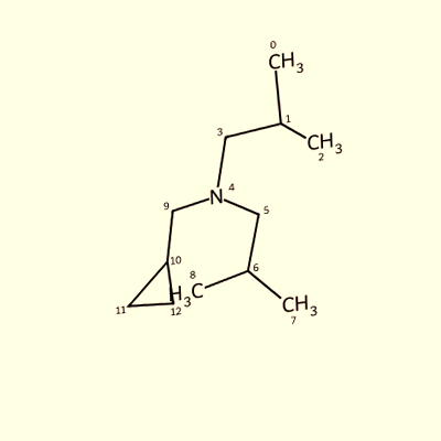 CC(C)CN(CC(C)C)CC1CC1